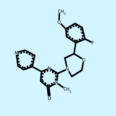 COc1ccc(F)c(C2CN(c3nc(-c4ccncc4)cc(=O)n3C)CCO2)c1